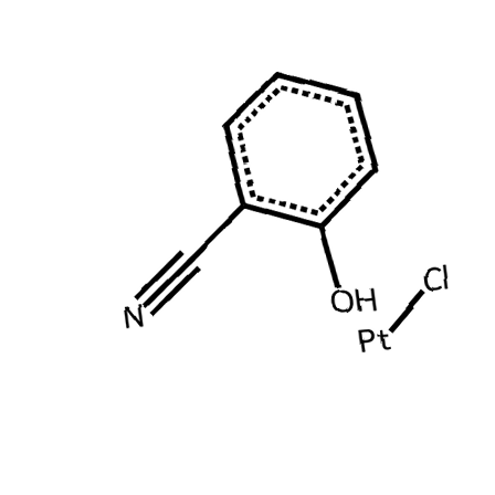 N#Cc1ccccc1O.[Cl][Pt]